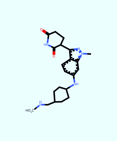 Cn1nc(C2CCC(=O)NC2=O)c2ccc(NC3CCC(CNC(=O)O)CC3)cc21